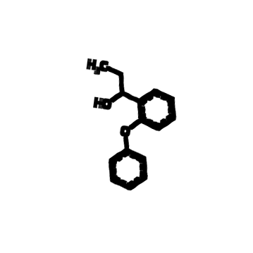 CCC(O)c1ccccc1Oc1ccccc1